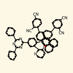 N#Cc1ccc(-c2ccc3c(c2)c2ccccc2n3-c2ccc(-c3nc(-c4ccccc4)nc(-c4ccccc4)n3)cc2-c2ncccc2-n2c3ccccc3c3cc(-c4ccc(C#N)cc4C#N)ccc32)c(C#N)c1